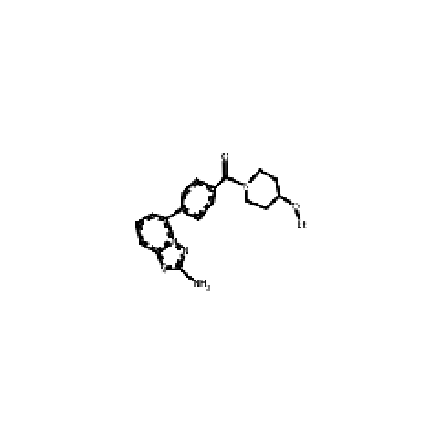 CCOC1CCN(C(=O)c2ccc(-c3cccc4nc(N)nn34)cc2)CC1